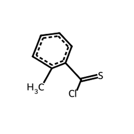 Cc1ccccc1C(=S)Cl